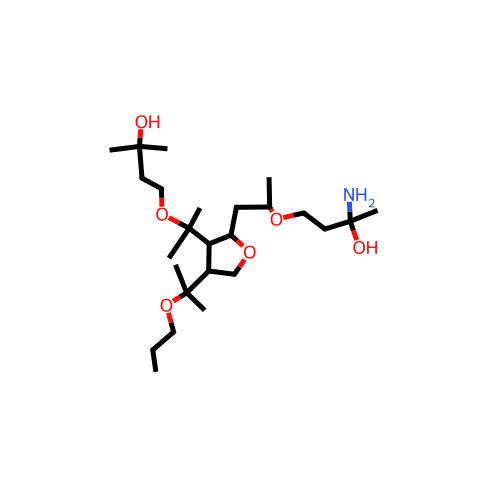 CCCOC(C)(C)C1COC(CC(C)OCCC(C)(N)O)C1C(C)(C)OCCC(C)(C)O